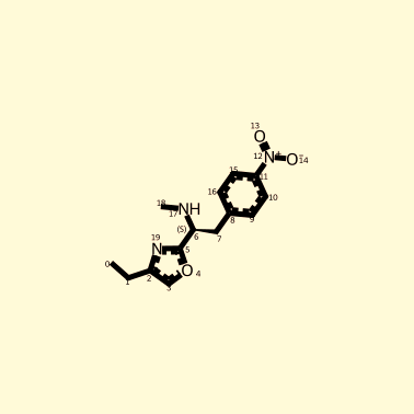 CCc1coc([C@H](Cc2ccc([N+](=O)[O-])cc2)NC)n1